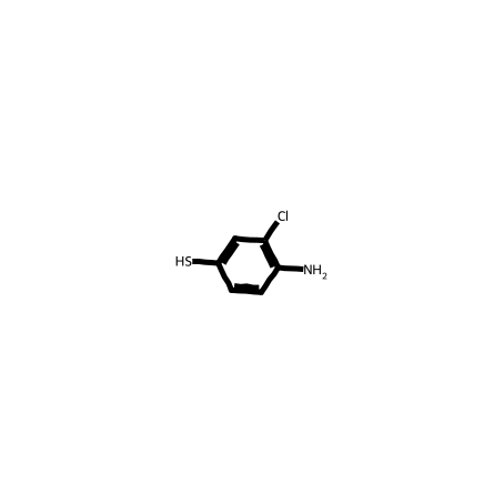 Nc1ccc(S)cc1Cl